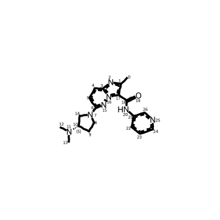 Cc1nc2ccc(N3CC[C@H](N(C)C)C3)nn2c1C(=O)Nc1cccnc1